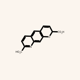 O=C(O)c1ccc2cc3c(cc2n1)OC(C(=O)O)C=C3